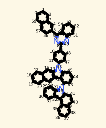 c1ccc2cc(-c3nc(-c4ccc(-n5c6cc7ccccc7cc6c6c(-n7c8ccccc8c8c9ccccc9ccc87)cccc65)cc4)nc4ccccc34)ccc2c1